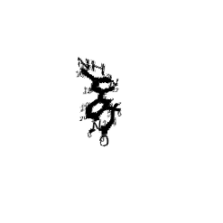 CN1C(=O)CC(C)(C)c2cc(-c3cncc(CN)c3)ccc21